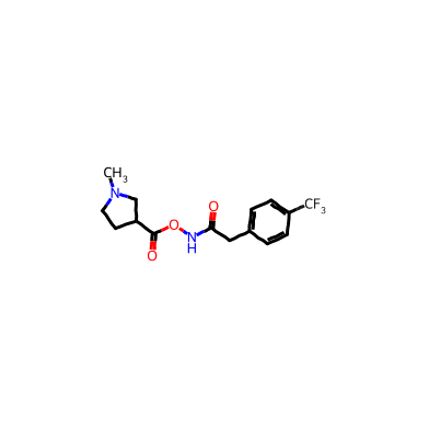 CN1CCC(C(=O)ONC(=O)Cc2ccc(C(F)(F)F)cc2)C1